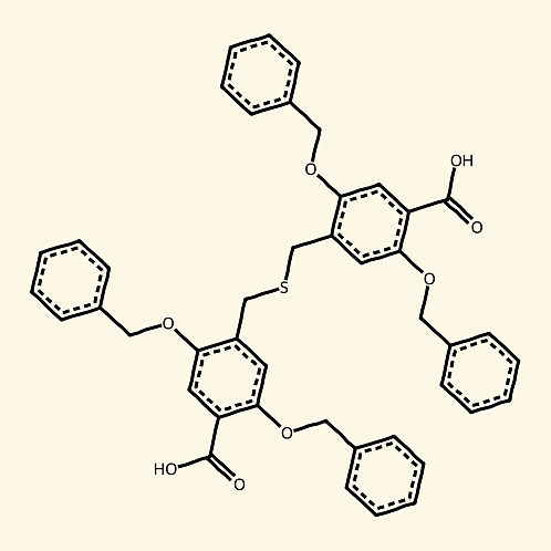 O=C(O)c1cc(OCc2ccccc2)c(CSCc2cc(OCc3ccccc3)c(C(=O)O)cc2OCc2ccccc2)cc1OCc1ccccc1